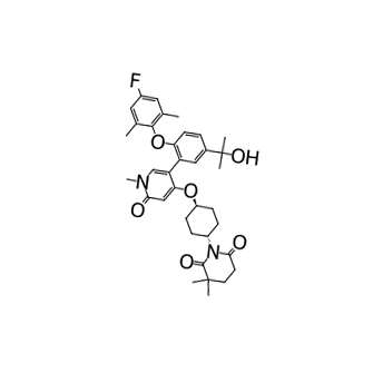 Cc1cc(F)cc(C)c1Oc1ccc(C(C)(C)O)cc1-c1cn(C)c(=O)cc1O[C@H]1CC[C@H](N2C(=O)CCC(C)(C)C2=O)CC1